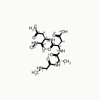 CNCC(=O)N[C@@H](C)C(=O)N[C@H](CC(=O)O)C(=O)N[C@H](CC(N)=O)C(=O)NCl